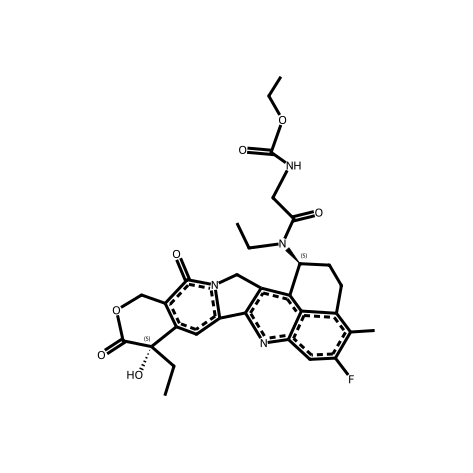 CCOC(=O)NCC(=O)N(CC)[C@H]1CCc2c(C)c(F)cc3nc4c(c1c23)Cn1c-4cc2c(c1=O)COC(=O)[C@]2(O)CC